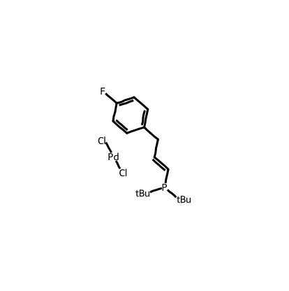 CC(C)(C)P(C=CCc1ccc(F)cc1)C(C)(C)C.[Cl][Pd][Cl]